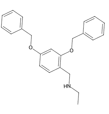 CCNCc1ccc(OCc2ccccc2)cc1OCc1ccccc1